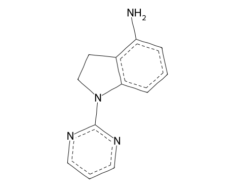 Nc1cccc2c1CCN2c1ncccn1